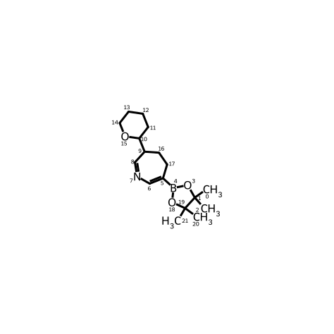 CC1(C)OB(C2=CN=CC(C3CCCCO3)CC2)OC1(C)C